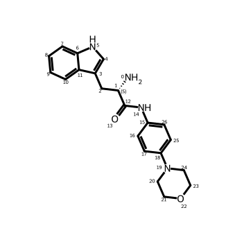 N[C@@H](Cc1c[nH]c2ccccc12)C(=O)Nc1ccc(N2CCOCC2)cc1